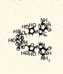 C[n+]1cn([C@@H]2C[C@H](COP(=O)(O)OP(=O)(O)OP(=O)(O)OC[C@H]3O[C@@H](n4cnc5c(=O)[nH]c(N)nc54)C(O)C3O)C(O)C2O)c2nc(N)[nH]c(=O)c21